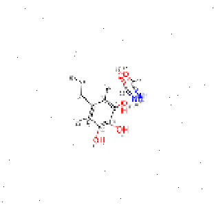 CCCc1c(C)c(O)c(O)c(O)c1C.N=C=O.N=C=O